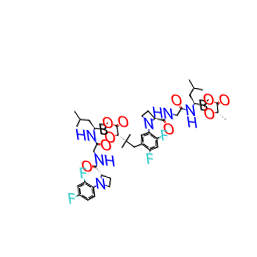 CC(C)C[C@H](NC(=O)CNC(=O)[C@@H]1CCN1c1cc(CC(C)(C)[C@@H]2OB([C@H](CC(C)C)NC(=O)CNC(=O)[C@@H]3CCN3c3ccc(F)cc3F)OC2=O)c(F)cc1F)B1OC(=O)[C@H](C)O1